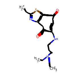 Cc1nc2c(s1)C(=O)C=C(NCCN(C)C)C2=O